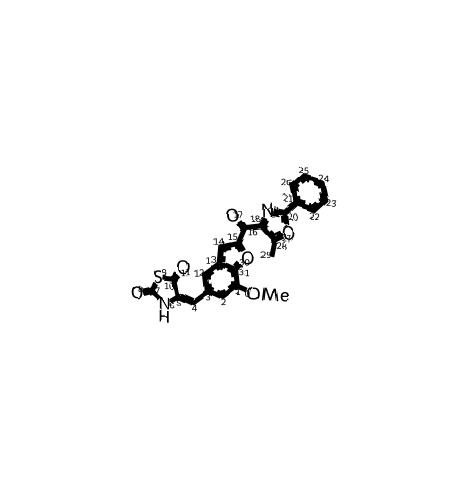 COc1cc(C=C2NC(=O)SC2=O)cc2cc(C(=O)c3nc(-c4ccccc4)oc3C)oc12